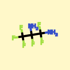 NC(F)(F)C(N)(F)C(F)(F)F